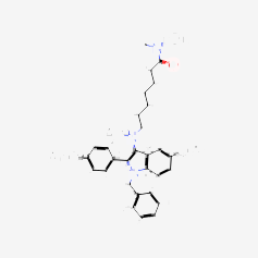 CCCCN(C)C(=O)CCCCCCN(C(C)=O)c1c(-c2ccc(OC(C)=O)cc2)n(Cc2ccccc2)c2ccc(OC(C)=O)cc12